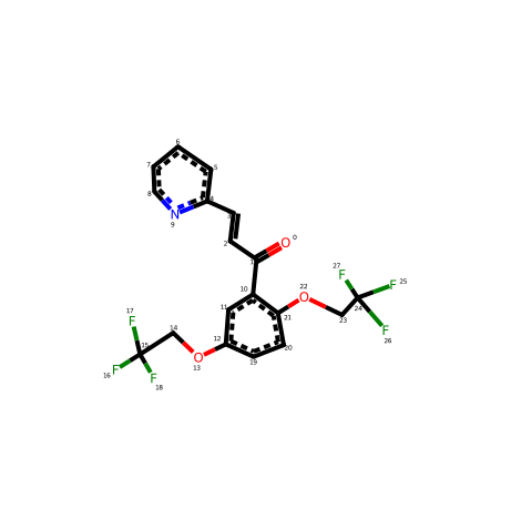 O=C(C=Cc1ccccn1)c1cc(OCC(F)(F)F)ccc1OCC(F)(F)F